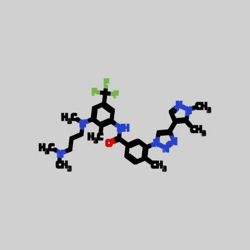 Cc1ccc(C(=O)Nc2cc(C(F)(F)F)cc(N(C)CCCN(C)C)c2C)cc1-n1cc(-c2cnn(C)c2C)nn1